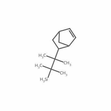 CC(C)([SiH3])C(C)(C)C1CC2C=CC1C2